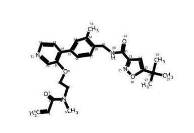 C=CC(=O)N(C)CCOc1cnccc1-c1ccc(CNC(=O)c2cc(C(C)(C)C)on2)c(C)c1